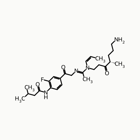 C/C=C\N(CCC(=O)[C@@H](C)CCCN)/C(C)=N/CC(=O)c1ccc(NC(=O)CC(C)C)c(F)c1